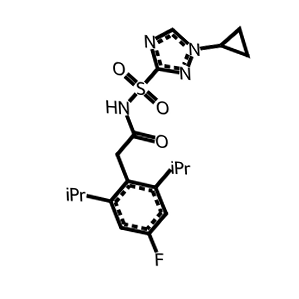 CC(C)c1cc(F)cc(C(C)C)c1CC(=O)NS(=O)(=O)c1ncn(C2CC2)n1